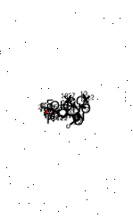 Cc1onc(N(C(=O)OC(C)(C)C)C(=O)OC(C)(C)C)c1-c1ccc(C(O)(C(F)(F)F)C(F)(F)F)cc1